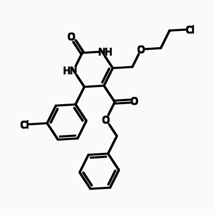 O=C1NC(COCCCl)=C(C(=O)OCc2ccccc2)C(c2cccc(Cl)c2)N1